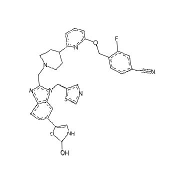 N#Cc1ccc(COc2cccc(C3CCN(Cc4nc5ccc(C6=CNC(O)O6)cc5n4Cc4cncs4)CC3)n2)c(F)c1